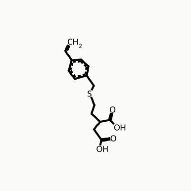 C=Cc1ccc(CSCCC(CC(=O)O)C(=O)O)cc1